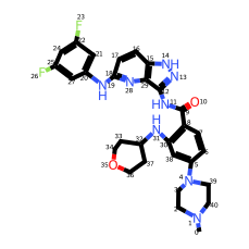 CN1CCN(c2ccc(C(=O)Nc3n[nH]c4ccc(Nc5cc(F)cc(F)c5)nc34)c(NC3CCOCC3)c2)CC1